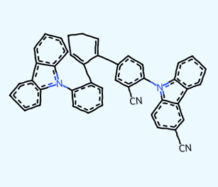 N#Cc1ccc2c(c1)c1ccccc1n2-c1ccc(C2=CCCC=C2c2ccccc2-n2c3ccccc3c3ccccc32)cc1C#N